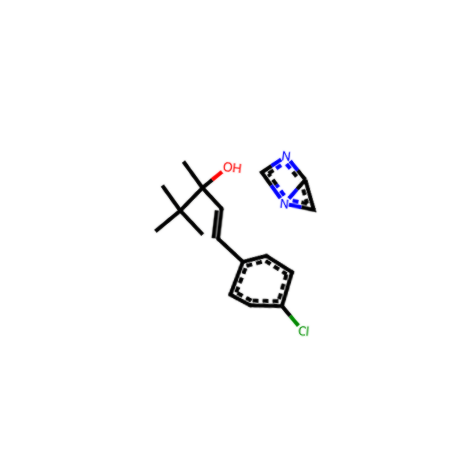 CC(C)(C)C(C)(O)C=Cc1ccc(Cl)cc1.c1nc2cn1-2